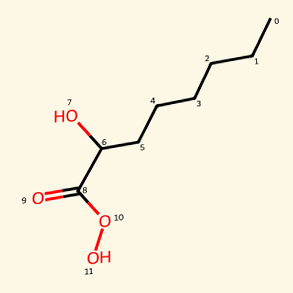 CCCCCCC(O)C(=O)OO